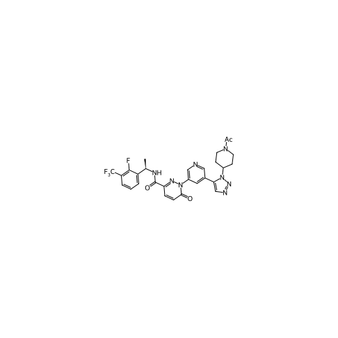 CC(=O)N1CCC(n2nncc2-c2cncc(-n3nc(C(=O)N[C@H](C)c4cccc(C(F)(F)F)c4F)ccc3=O)c2)CC1